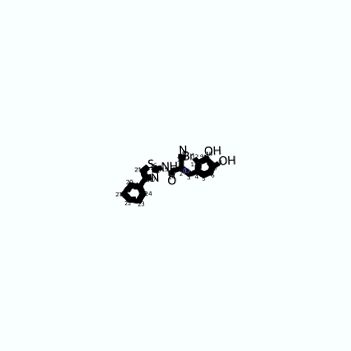 N#C/C(=C\c1ccc(O)c(O)c1Br)C(=O)Nc1nc(-c2ccccc2)cs1